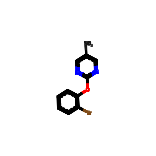 O=[N+]([O-])c1cnc(Oc2ccccc2Br)nc1